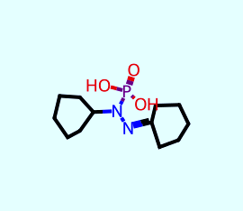 O=P(O)(O)N(N=C1CCCCC1)C1CCCCC1